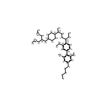 CCCCCc1cc(F)c(-c2ccc(C(CC)CCC(C)C3CCC(CC(COC)COC)CC3)c(CC)c2)c(F)c1